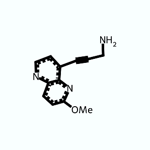 COc1ccc2nccc(C#CCN)c2n1